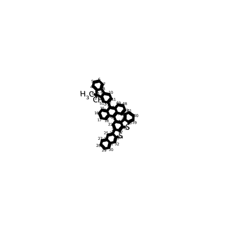 CC1(C)c2ccccc2-c2ccc(-c3c4ccccc4c(-c4cc5c6cc7ccccc7cc6sc5c5sc6ccccc6c45)c4ccccc34)cc21